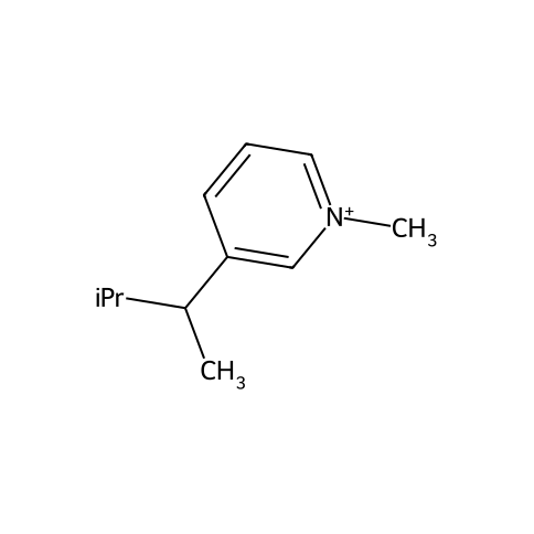 CC(C)C(C)c1ccc[n+](C)c1